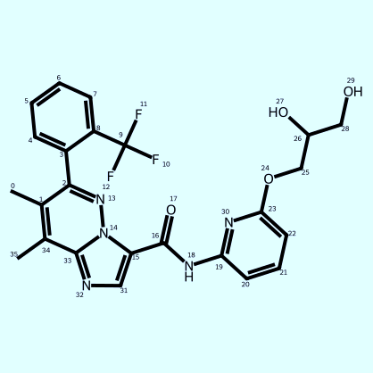 Cc1c(-c2ccccc2C(F)(F)F)nn2c(C(=O)Nc3cccc(OCC(O)CO)n3)cnc2c1C